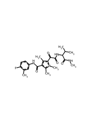 CNC(=O)C(NC(=O)C(=O)c1c(C)c(C(=O)Nc2ccc(F)c(C)c2)c(C)n1C)C(C)C